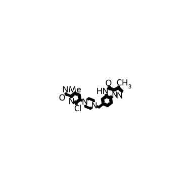 CNC(=O)c1ccc(N2CCN(Cc3ccc4c(c3)[nH]c(=O)c3c(C)cnn34)CC2)c(Cl)n1